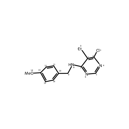 [CH2][CH]c1c(Cl)ncnc1NCc1ccc(OC)cc1